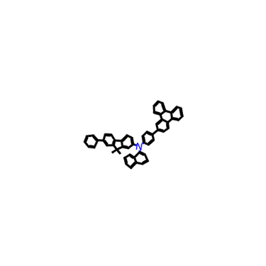 CC1(C)c2cc(-c3ccccc3)ccc2-c2ccc(N(c3ccc(-c4ccc5c6ccccc6c6ccccc6c5c4)cc3)c3cccc4ccccc34)cc21